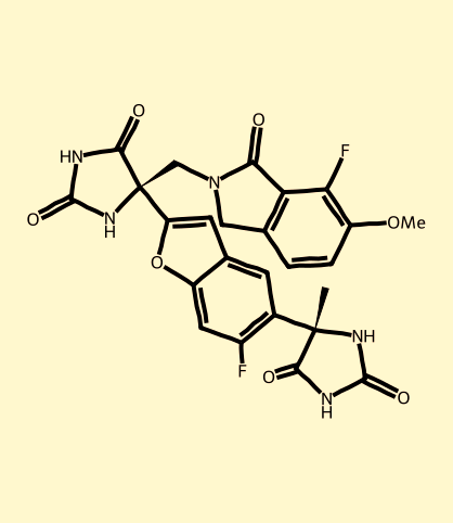 COc1ccc2c(c1F)C(=O)N(C[C@@]1(c3cc4cc([C@]5(C)NC(=O)NC5=O)c(F)cc4o3)NC(=O)NC1=O)C2